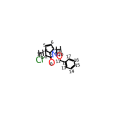 O=C1[C@@H](Cl)[C@H]2C=C[C@H](C2)N1OCc1ccccc1